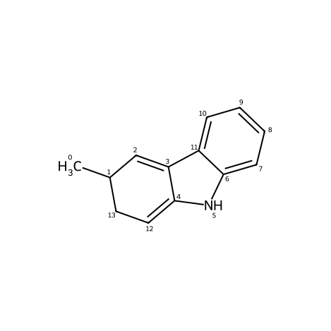 CC1C=c2c([nH]c3ccccc23)=CC1